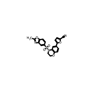 Cc1nc2cc(S(=O)(=O)N3CCOc4ccc(-c5ccc(C#N)o5)cc43)ccc2o1